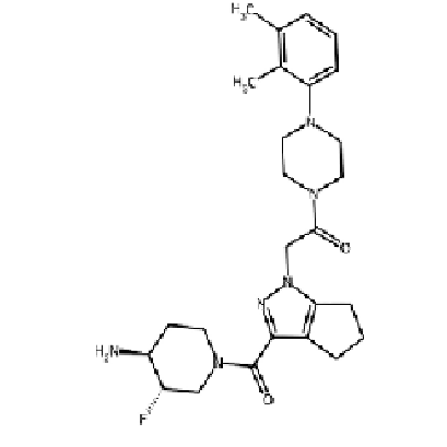 Cc1cccc(N2CCN(C(=O)Cn3nc(C(=O)N4CC[C@H](N)[C@@H](F)C4)c4c3CCC4)CC2)c1C